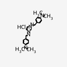 CN(C)c1ccc(C=NN2C=CN(N=Cc3ccc(N(C)C)cc3)C2)cc1.Cl